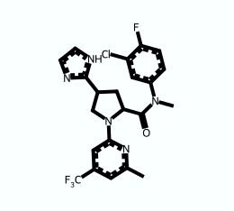 Cc1cc(C(F)(F)F)cc(N2CC(c3ncc[nH]3)CC2C(=O)N(C)c2ccc(F)c(Cl)c2)n1